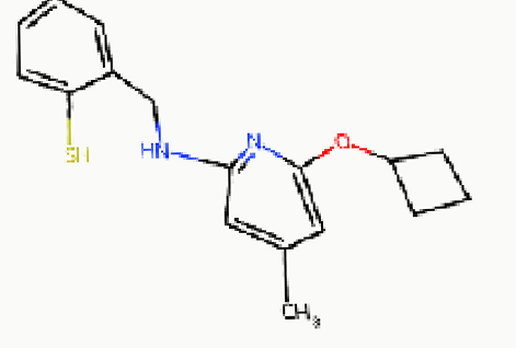 Cc1cc(NCc2ccccc2S)nc(OC2CCC2)c1